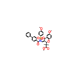 COC(=O)C(C)(C)C1Oc2ccc(OC)cc2C(=O)/C1=C\N(C(=O)c1ccc(-c2ccccc2)cc1)S(=O)(=O)c1ccc(OC)cc1